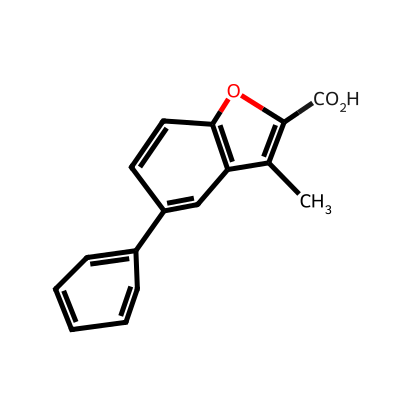 Cc1c(C(=O)O)oc2ccc(-c3ccccc3)cc12